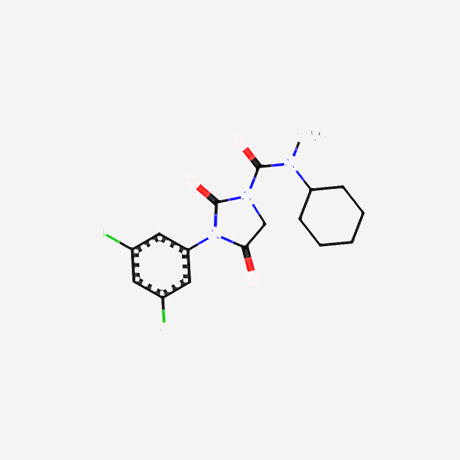 CON(C(=O)N1CC(=O)N(c2cc(Cl)cc(Cl)c2)C1=O)C1CCCCC1